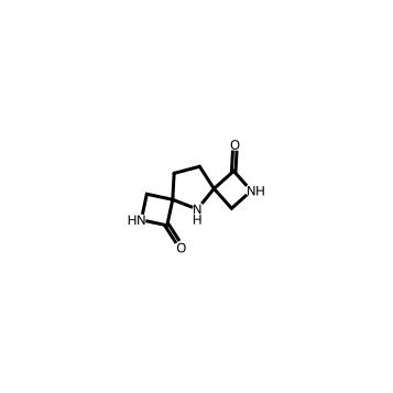 O=C1NCC12CCC1(CNC1=O)N2